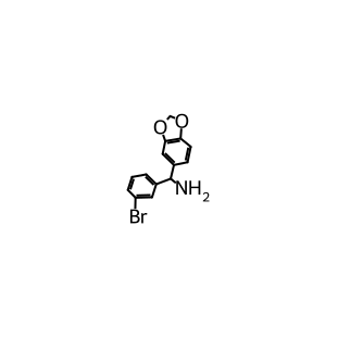 NC(c1cccc(Br)c1)c1ccc2c(c1)OCO2